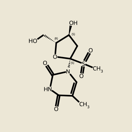 Cc1cn([C@@]2(S(C)(=O)=O)C[C@H](O)[C@@H](CO)O2)c(=O)[nH]c1=O